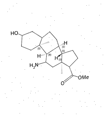 COC(=O)C1CC[C@H]2[C@@H]3CCC4CC(O)CC[C@]4(C)[C@@H]3C(N)C[C@]12C